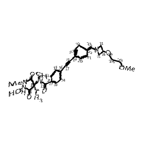 CNC(=O)[C@@](C)(C(=O)NO)N(C)C(=O)c1ccc(C#Cc2ccc(CN3CC(OCCOC)C3)cc2)cc1